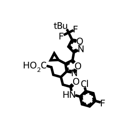 CC(C)(C)C(F)(F)c1cc(-c2onc(C(CCC(=O)O)CC(=O)Nc3ccc(F)cc3Cl)c2C2CC2)no1